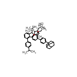 CCCC(C)C1=Cc2c(-c3ccc(C(C)C)cc3)cccc2[CH]1[Zr]([CH3])([CH3])(=[SiH2])[CH]1C(CC)=Cc2c(-c3ccc(C45CC6CC(CC(C6)C4)C5)cc3)cccc21.Cl.Cl